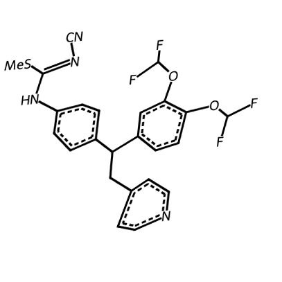 CSC(=NC#N)Nc1ccc(C(Cc2ccncc2)c2ccc(OC(F)F)c(OC(F)F)c2)cc1